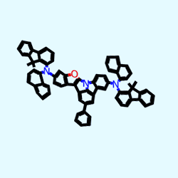 CC1(C)c2ccccc2-c2cccc(N(c3ccc4c(c3)oc3c4c4cc(-c5ccccc5)cc5c6cc(N(c7cccc8c7C(C)(C)c7ccccc7-8)c7cccc8ccccc78)ccc6n3c54)c3cccc4ccccc34)c21